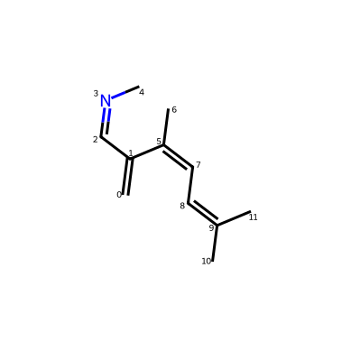 C=C(/C=N\C)/C(C)=C\C=C(C)C